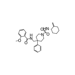 C=C1CCCC[C@@H]1NS(=O)(=O)N1CCC(CNC(=O)c2ccccc2OC)(c2ccccc2)CC1